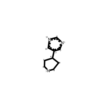 c1ncc(C2CC[N]CC2)cn1